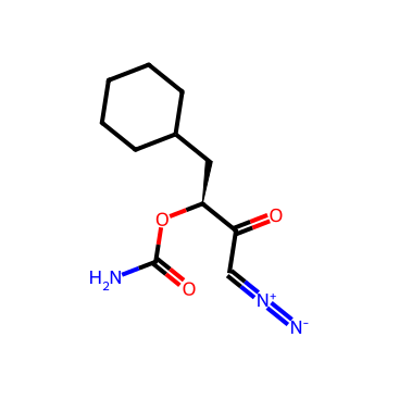 [N-]=[N+]=CC(=O)[C@H](CC1CCCCC1)OC(N)=O